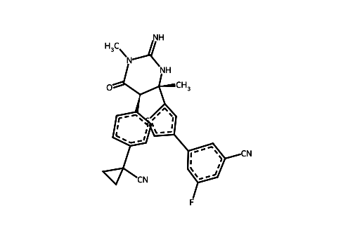 CN1C(=N)N[C@](C)(c2cc(-c3cc(F)cc(C#N)c3)cs2)[C@@H](c2ccc(C3(C#N)CC3)cc2)C1=O